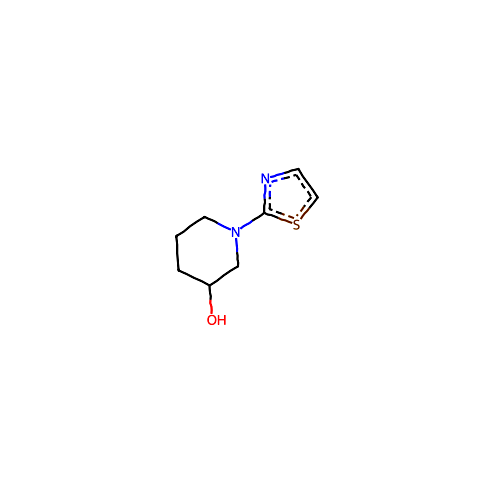 OC1CCCN(c2nccs2)C1